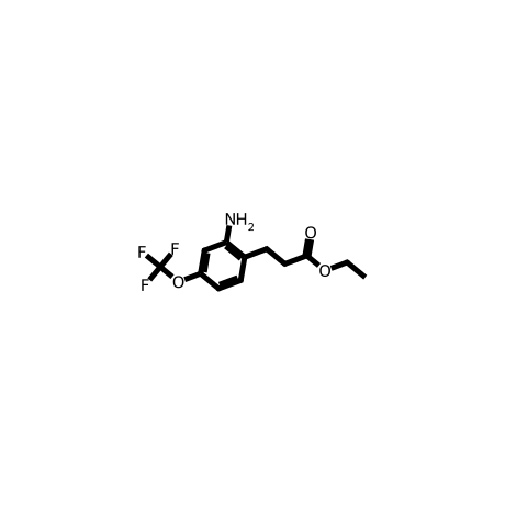 CCOC(=O)CCc1ccc(OC(F)(F)F)cc1N